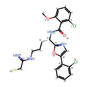 COc1cccc(Cl)c1C(=O)N[C@@H](CCCNC(=N)CF)c1ncc(-c2ccccc2Cl)o1